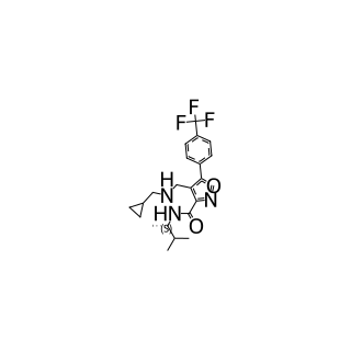 CC(C)[C@H](C)NC(=O)c1noc(-c2ccc(C(F)(F)F)cc2)c1CNCC1CC1